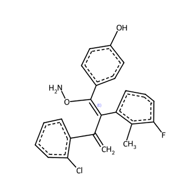 C=C(/C(=C(\ON)c1ccc(O)cc1)c1cccc(F)c1C)c1ccccc1Cl